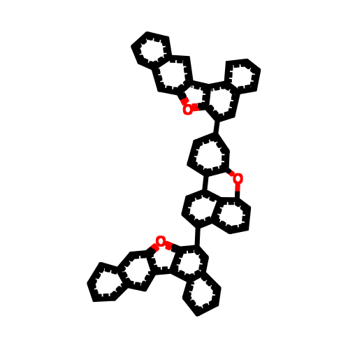 c1ccc2cc3c(cc2c1)oc1c(-c2ccc4c(c2)Oc2cccc5c(-c6cc7ccccc7c7c6oc6cc8ccccc8cc67)ccc-4c25)cc2ccccc2c13